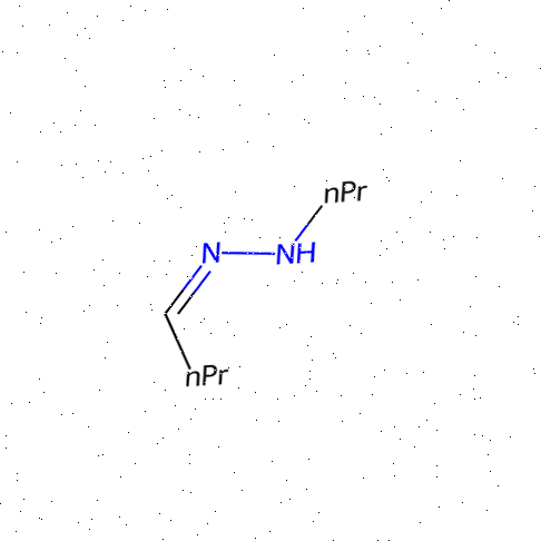 CCC/C=N\NCCC